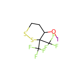 FC(F)(F)C1(C(F)(F)F)SSCCC1OI